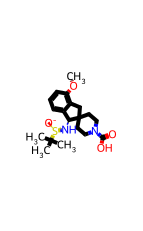 COc1cccc2c1CC1(CCN(C(=O)O)CC1)[C@@H]2N[S@+]([O-])C(C)(C)C